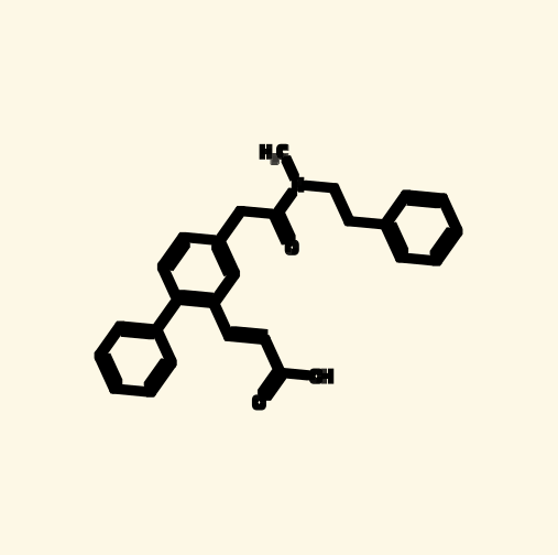 CN(CCc1ccccc1)C(=O)Cc1ccc(-c2ccccc2)c(C=CC(=O)O)c1